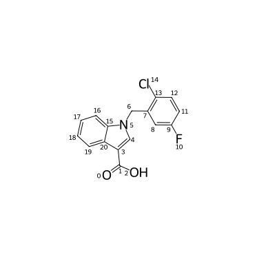 O=C(O)c1cn(Cc2cc(F)ccc2Cl)c2ccccc12